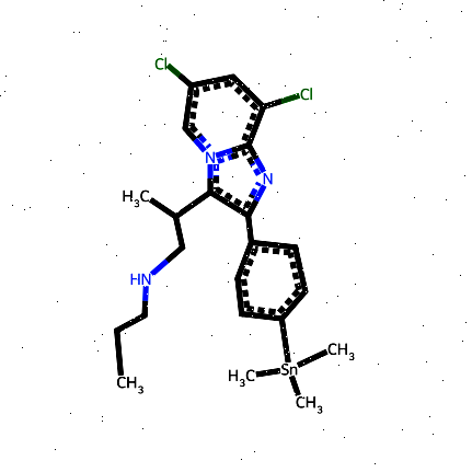 CCCNCC(C)c1c(-c2cc[c]([Sn]([CH3])([CH3])[CH3])cc2)nc2c(Cl)cc(Cl)cn12